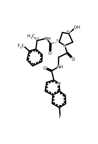 C[C@H](NC(=O)[C@@H]1C[C@@H](O)CN1C(=O)CNC(=O)c1ccc2cc(F)ccc2n1)c1ccccc1C(F)(F)F